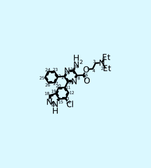 CCN(CC)CCOC(=O)c1nc(-c2cc(Cl)c3[nH]ncc3c2)c(-c2ccccc2)nc1N